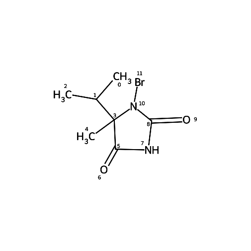 CC(C)C1(C)C(=O)NC(=O)N1Br